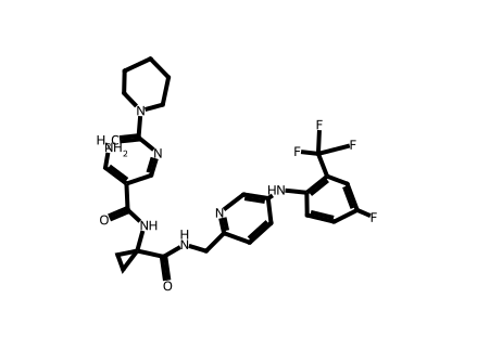 C=C(/N=C\C(=C/N)C(=O)NC1(C(=O)NCc2ccc(Nc3ccc(F)cc3C(F)(F)F)cn2)CC1)N1CCCCC1